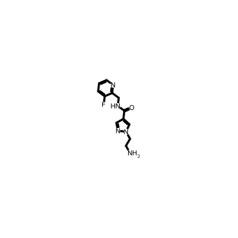 NCCn1cc(C(=O)NCc2ncccc2F)cn1